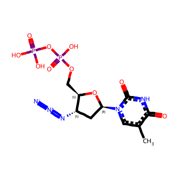 Cc1cn([C@H]2C[C@H](N=[N+]=[N-])[C@@H](COP(=O)(O)OP(=O)(O)O)O2)c(=O)[nH]c1=O